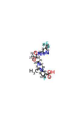 C[C@H]1CN([C@@H]2CC[C@@](C(=O)NCc3cncc(C(F)(F)F)c3)(C3CC3)OC2)CCN1c1ccc(F)c(C(=O)O)c1